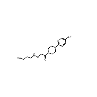 CC(C)(C)CCCNOCC(=O)N1CCN(c2ncc(C#N)cn2)CC1